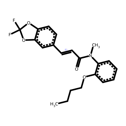 CCCCOc1ccccc1N(C)C(=O)/C=C/c1ccc2c(c1)OC(F)(F)O2